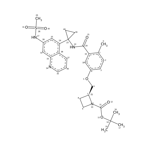 Cc1ccc(OC[C@@H]2CCN2C(=O)OC(C)(C)C)cc1C(=O)NC1(c2cc(NS(C)(=O)=O)cc3ncccc23)CC1